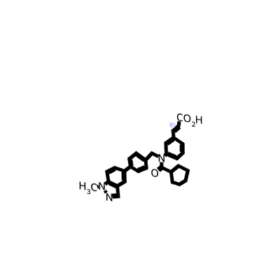 Cn1ncc2cc(-c3ccc(CN(C(=O)C4CCCCC4)c4cccc(/C=C/C(=O)O)c4)cc3)ccc21